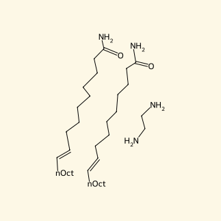 CCCCCCCCC=CCCCCCCCC(N)=O.CCCCCCCCC=CCCCCCCCC(N)=O.NCCN